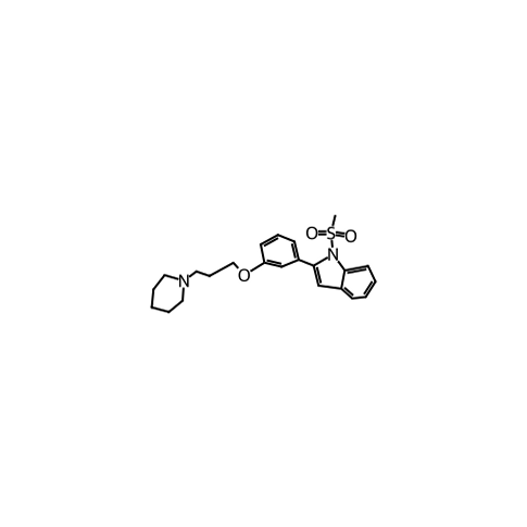 CS(=O)(=O)n1c(-c2cccc(OCCCN3CCCCC3)c2)cc2ccccc21